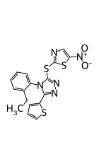 CCc1ccccc1-n1c(Sc2ncc([N+](=O)[O-])s2)nnc1-c1cccs1